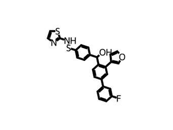 OC(c1ccc(SNc2nccs2)cc1)c1ccc(-c2cccc(F)c2)cc1-c1ccoc1